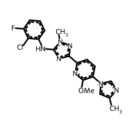 COc1nc(-c2nc(Nc3cccc(F)c3Cl)n(C)n2)ccc1-n1cnc(C)c1